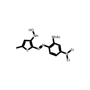 CCN(CC)c1ccc(/N=N/c2sc(I)cc2NO)c(NC(C)=O)c1